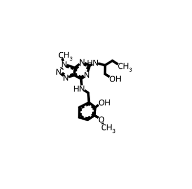 CCC(CO)Nc1nc(NCc2cccc(OC)c2O)c2nnn(C)c2n1